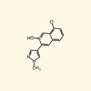 Cn1cc(-c2cc3cccc(Cl)c3c[n+]2O)cn1